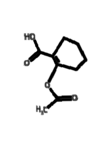 CC(=O)OC1=C(C(=O)O)CCCC1